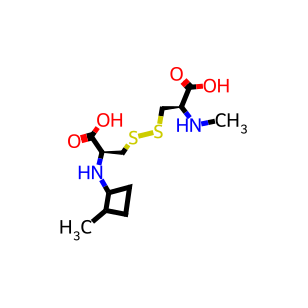 CN[C@@H](CSSC[C@@H](NC1CCC1C)C(=O)O)C(=O)O